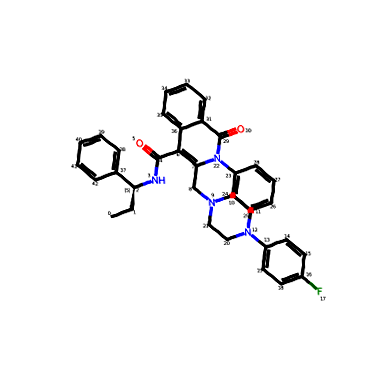 CC[C@H](NC(=O)c1c(CN2CCN(c3ccc(F)cc3)CC2)n(-c2ccccc2)c(=O)c2ccccc12)c1ccccc1